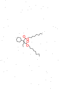 CCCCCCCCOC(=O)/C(CC)=C(\C(=O)OCCCCCCCC)C1CCCCC1